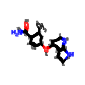 Cc1cc(Oc2ccnc3[nH]ccc23)ccc1C(N)=O